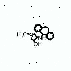 CCN1C[C@H](NC2c3ccccc3CCc3ccccc32)[C@@H](O)C1